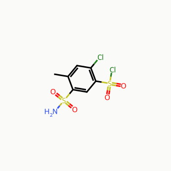 Cc1cc(Cl)c(S(=O)(=O)Cl)cc1S(N)(=O)=O